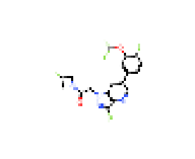 O=C(Cn1nc(F)c2ncc(-c3ccc(F)c(OC(F)F)c3)cc21)N1CC(F)C1